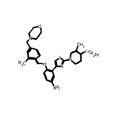 Cc1cc(CN2CCOCC2)ccc1COc1ccc(N)cc1-c1csc(N2CCC(C(=O)O)C(C)C2)n1